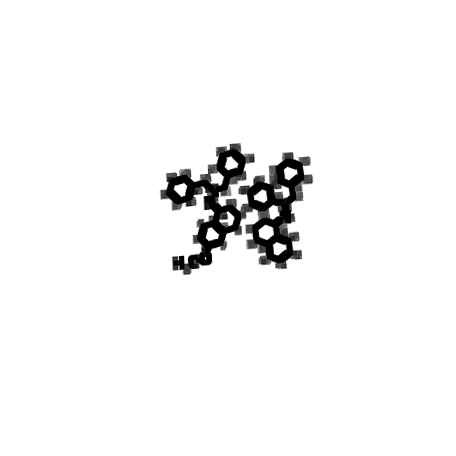 COc1ccc2c(c1)CCCC2=NN(Cc1ccccc1)Cc1ccccc1.c1ccc(CN(N=C2CCCc3ccccc32)c2ccccc2)cc1